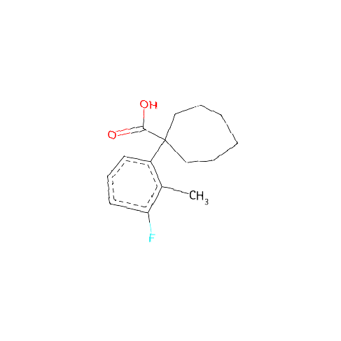 Cc1c(F)cccc1C1(C(=O)O)CCCCCC1